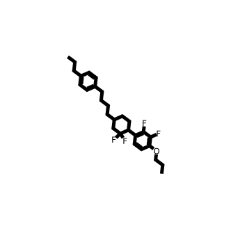 CCCOc1ccc(C2CCC(CCCCc3ccc(CCC)cc3)CC2(F)F)c(F)c1F